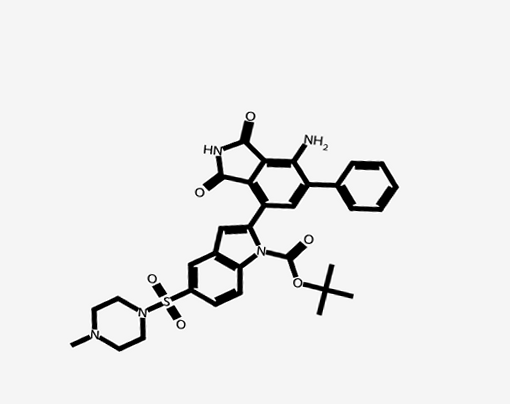 CN1CCN(S(=O)(=O)c2ccc3c(c2)cc(-c2cc(-c4ccccc4)c(N)c4c2C(=O)NC4=O)n3C(=O)OC(C)(C)C)CC1